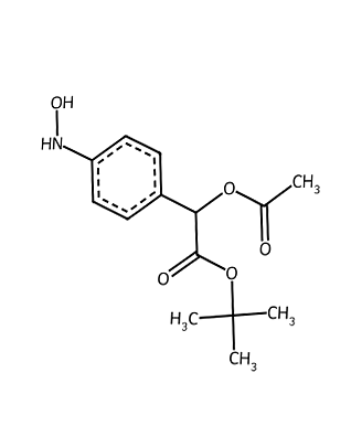 CC(=O)OC(C(=O)OC(C)(C)C)c1ccc(NO)cc1